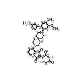 COc1cc(N2CCC3(CC2)CCN(c2cccc4c2C(=O)N(C2CCC(=O)NC2=O)C4=O)CC3)c(-c2cnn(C)c2)cc1N